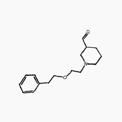 O=CC1CCCN(CCOCCc2ccccc2)C1